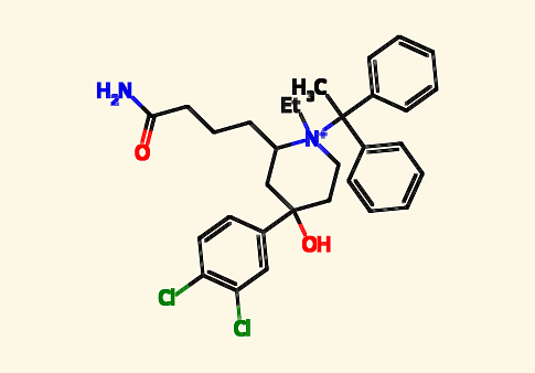 CC[N+]1(C(C)(c2ccccc2)c2ccccc2)CCC(O)(c2ccc(Cl)c(Cl)c2)CC1CCCC(N)=O